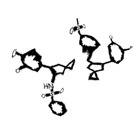 CS(=O)(=O)c1ccc(C2=C(c3ccc(F)c(Cl)c3)CC3(CC3)C2)cc1.O=S(=O)(NC1=C(c2ccc(Cl)c(Cl)c2)CC2(CC2)C1)c1ccccc1